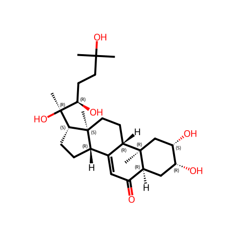 CC(C)(O)CC[C@@H](O)[C@](C)(O)[C@H]1CC[C@H]2C3=CC(=O)[C@@H]4C[C@@H](O)[C@@H](O)C[C@]4(C)[C@H]3CC[C@]12C